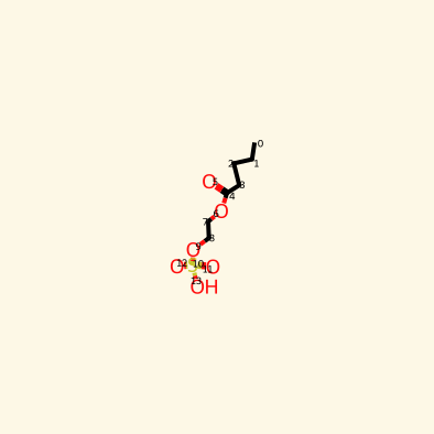 CCCCC(=O)OCCOS(=O)(=O)O